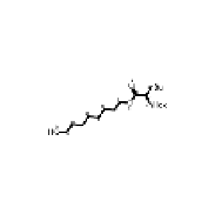 CCCCCCC(CCCC)C(=O)OCCCCCCCCO